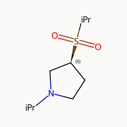 CC(C)N1CC[C@H](S(=O)(=O)C(C)C)C1